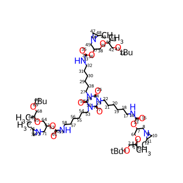 CC(COC(C)(C)C)OCC(CN1CC1C)OC(=O)NCCCCCCn1c(=O)n(CCCCCCNC(=O)OC(COC(C)COC(C)(C)C)CN2CC2C)c(=O)n(CCCCCCNC(=O)OC(COC(C)COC(C)(C)C)CN2CC2C)c1=O